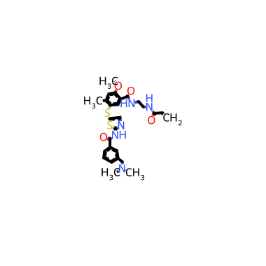 C=CC(=O)NCCNC(=O)c1cc(Sc2cnc(NC(=O)c3cccc(CN(C)C)c3)s2)c(C)cc1OC